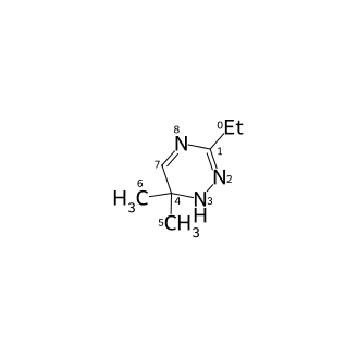 CCC1=NNC(C)(C)C=N1